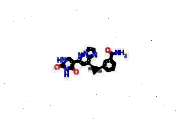 NC(=O)c1cccc([C@H]2C[C@@H]2c2cc(-c3c[nH]c(=O)[nH]c3=O)nn3ccnc23)c1